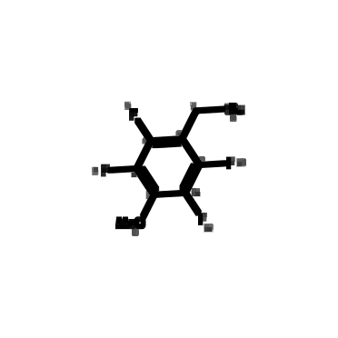 COc1c(F)c(F)c(CC(C)(C)C)c(F)c1F